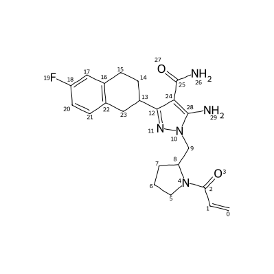 C=CC(=O)N1CCCC1Cn1nc(C2CCc3cc(F)ccc3C2)c(C(N)=O)c1N